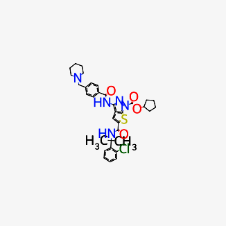 CC(C)(NC(=O)c1cc2c(NC(=O)c3ccc(CN4CCCCC4)cc3)nn(C(=O)OC3CCCC3)c2s1)c1ccccc1Cl